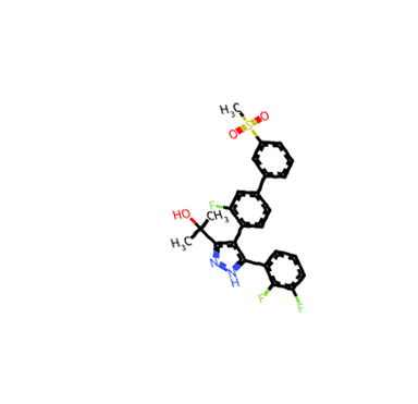 CC(C)(O)c1n[nH]c(-c2cccc(F)c2F)c1-c1ccc(-c2cccc(S(C)(=O)=O)c2)cc1F